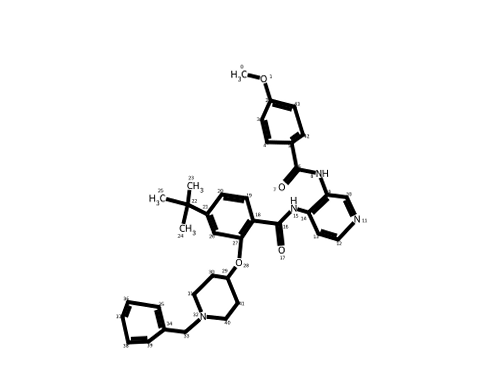 COc1ccc(C(=O)Nc2cnccc2NC(=O)c2ccc(C(C)(C)C)cc2OC2CCN(Cc3ccccc3)CC2)cc1